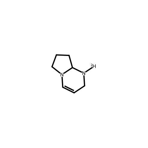 [2H]N1CC=CN2CCCC12